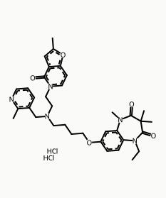 CCN1C(=O)C(C)(C)C(=O)N(C)c2cc(OCCCCN(CCn3ccc4oc(C)cc4c3=O)Cc3cccnc3C)ccc21.Cl.Cl